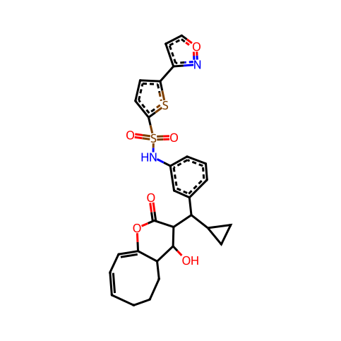 O=C1OC2=CC=CCCCC2C(O)C1C(c1cccc(NS(=O)(=O)c2ccc(-c3ccon3)s2)c1)C1CC1